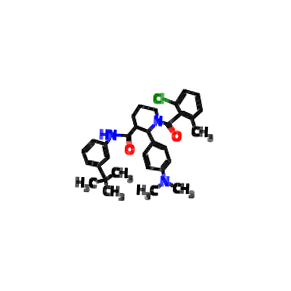 Cc1cccc(Cl)c1C(=O)N1CCCC(C(=O)Nc2cccc(C(C)(C)C)c2)C1c1ccc(N(C)C)cc1